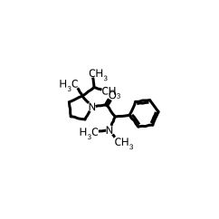 CC(C)C1(C)CCCN1C(=O)C(c1ccccc1)N(C)C